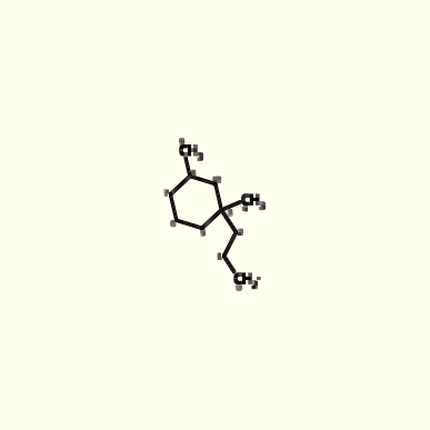 [CH2]CCC1(C)CCCC(C)C1